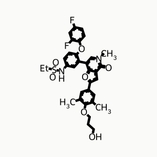 CCS(=O)(=O)Nc1ccc(Oc2ccc(F)cc2F)c(-c2cn(C)c(=O)c3cc(-c4cc(C)c(OCCCO)c(C)c4)oc23)c1